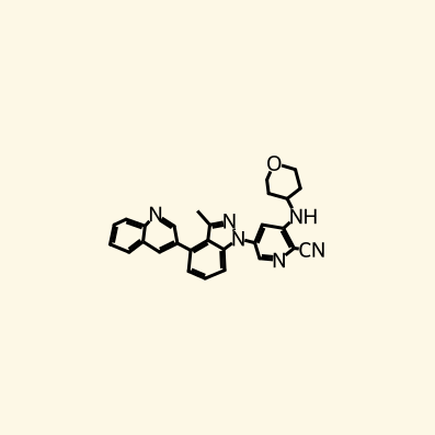 Cc1nn(-c2cnc(C#N)c(NC3CCOCC3)c2)c2cccc(-c3cnc4ccccc4c3)c12